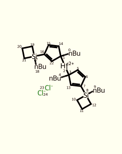 CCCC[C]1([Hf+2][C]2(CCCC)C=CC([Si]3(CCCC)CCC3)=C2)C=CC([Si]2(CCCC)CCC2)=C1.[Cl-].[Cl-]